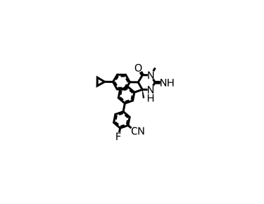 CN1C(=N)N[C@](C)(c2cccc(-c3ccc(F)c(C#N)c3)c2)C(c2ccc(C3CC3)cc2)C1=O